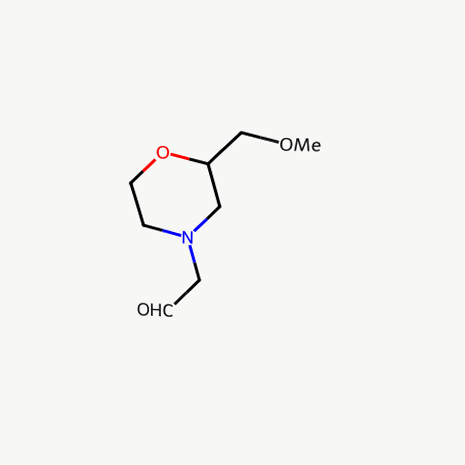 COCC1CN(CC=O)CCO1